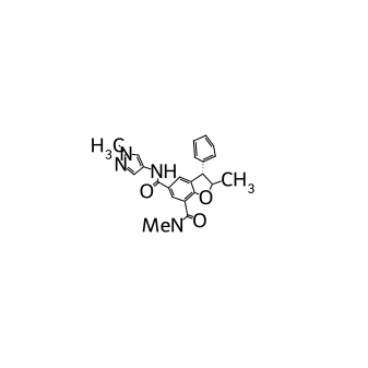 CNC(=O)c1cc(C(=O)Nc2cnn(C)c2)cc2c1OC(C)[C@H]2c1ccccc1